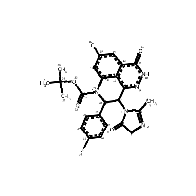 CC1=NCC(=O)N1C1c2n[nH]c(=O)c3cc(F)cc(c23)N(C(=O)OC(C)(C)C)C1c1ccc(F)cc1